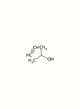 C#C.CC(C)O